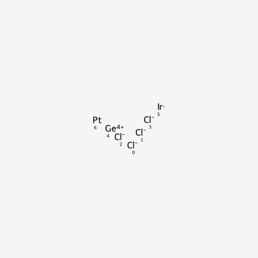 [Cl-].[Cl-].[Cl-].[Cl-].[Ge+4].[Ir].[Pt]